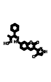 CC(=NO)C(=NNc1ccc2cc(-c3n[nH]cc3Cl)c(=O)oc2c1)c1ccccc1